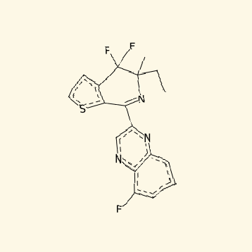 CCC1(C)N=C(c2cnc3c(F)cccc3n2)c2sccc2C1(F)F